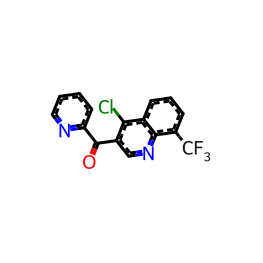 O=C(c1ccccn1)c1cnc2c(C(F)(F)F)cccc2c1Cl